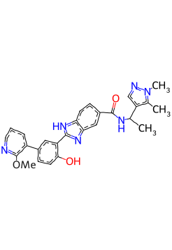 COc1ncccc1-c1ccc(O)c(-c2nc3cc(C(=O)NC(C)c4cnn(C)c4C)ccc3[nH]2)c1